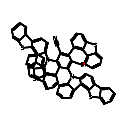 N#Cc1c(-c2cccc3sc4ccccc4c23)c(C#N)c(-n2c3ccccc3c3c4sc5ccccc5c4ccc32)c(-c2cccc3sc4ccccc4c23)c1-n1c2ccccc2c2c3sc4ccccc4c3ccc21